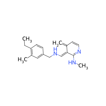 C=c1ccnc(NC)/c1=C/NCc1ccc(CC)c(C)c1